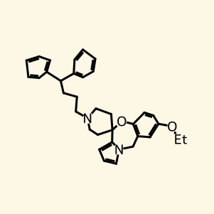 CCOc1ccc2c(c1)Cn1cccc1C1(CCN(CCCC(c3ccccc3)c3ccccc3)CC1)O2